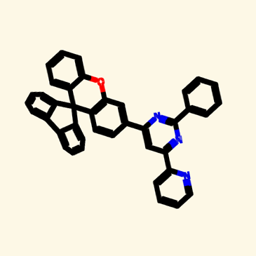 c1ccc(-c2nc(-c3ccc4c(c3)Oc3ccccc3C43c4ccccc4-c4ccccc43)cc(-c3ccccn3)n2)cc1